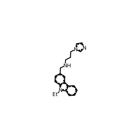 CCn1c2ccccc2c2cc(CNCCCn3ccnc3)ccc21